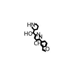 Cc1cc(C(O)C2CCCNC2)nnc1-c1ccc2occc2c1